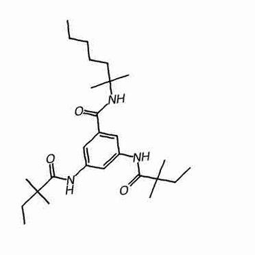 CCCCCC(C)(C)NC(=O)c1cc(NC(=O)C(C)(C)CC)cc(NC(=O)C(C)(C)CC)c1